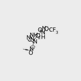 CC#CC(=O)N1CCC(c2nc(-c3ccc(C(=O)Nc4cc(C(F)(F)F)ccn4)cc3)n3c(N)nccc23)C1